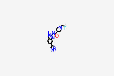 C[C@H](F)CN1CCC(C(=O)Nc2ncc3ccc(-c4cnn(C)c4)cc3n2)CC1